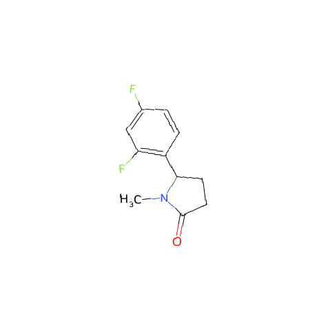 CN1C(=O)CCC1c1ccc(F)cc1F